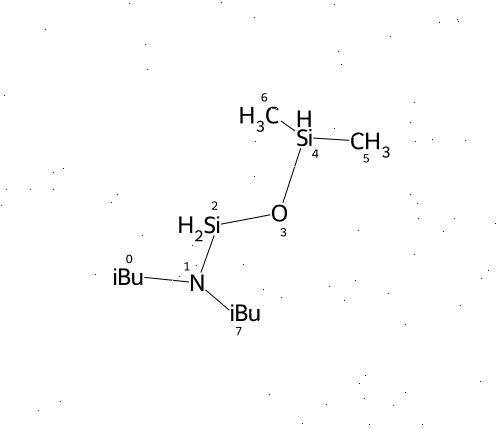 CCC(C)N([SiH2]O[SiH](C)C)C(C)CC